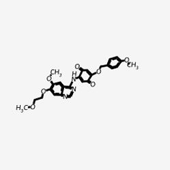 COCCOc1cc2ncnc(NC3=CC(=O)C(OCc4ccc(OC)cc4)=CC3=O)c2cc1OC